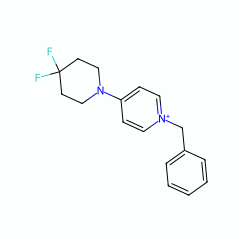 FC1(F)CCN(c2cc[n+](Cc3ccccc3)cc2)CC1